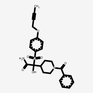 CC#CCOc1ccc(S(=O)(=O)C(O)(C(N)=O)C2CCN(C(=O)c3ccccc3)CC2)cc1